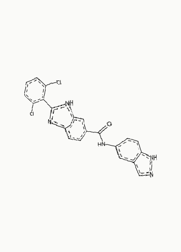 O=C(Nc1ccc2[nH]ncc2c1)c1ccc2nc(-c3c(Cl)cccc3Cl)[nH]c2c1